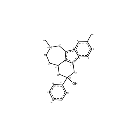 Cc1ccc2c(c1)c1c3n2CC(O)(c2ccncc2)CC3CCN(C)C1